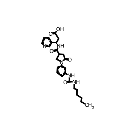 CCCCCCNC(=O)Nc1cccc(N2CC(C(=O)NC(CC(=O)O)c3cccnc3)CC2=O)c1